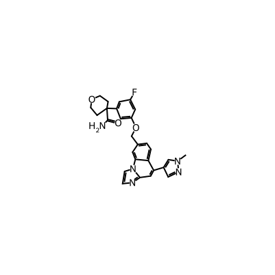 Cn1cc(-c2cc3nccn3c3cc(COc4cc(F)cc(C5(C(N)=O)CCOCC5)c4)ccc23)cn1